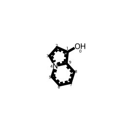 Oc1ccn2ccccc12